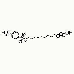 Cc1ccc(S(=O)(=O)OCCCCCCCCCOOOO)cc1